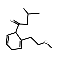 COCCC1=CCC=CC1C(=O)CC(C)C